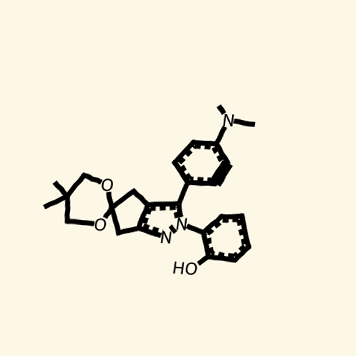 CN(C)c1c#cc(-c2c3c(nn2-c2ccccc2O)CC2(C3)OCC(C)(C)CO2)cc1